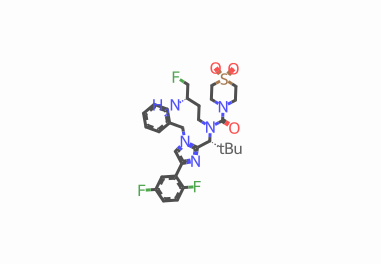 CC(C)(C)[C@H](c1nc(-c2cc(F)ccc2F)cn1Cc1ccccc1)N(CC[C@H](N)CF)C(=O)N1CCS(=O)(=O)CC1